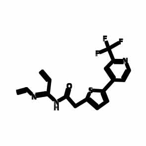 C=C/N=C(\C=C)NC(=O)Cc1ccc(-c2ccnc(C(F)(F)F)c2)s1